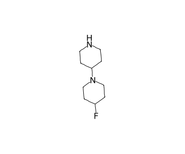 FC1CCN(C2CCNCC2)CC1